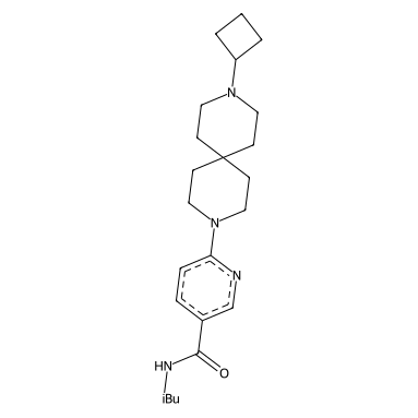 CCC(C)NC(=O)c1ccc(N2CCC3(CC2)CCN(C2CCC2)CC3)nc1